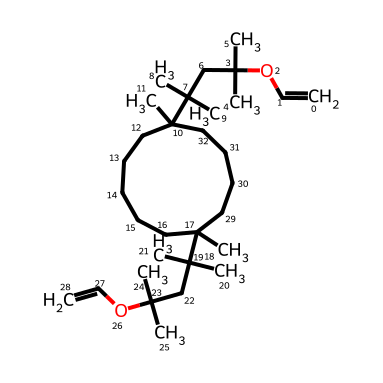 C=COC(C)(C)CC(C)(C)C1(C)CCCCCC(C)(C(C)(C)CC(C)(C)OC=C)CCCC1